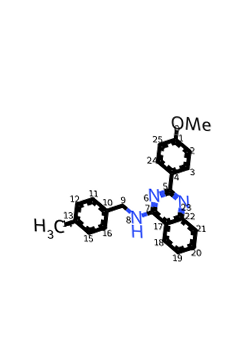 COc1ccc(-c2nc(NCc3ccc(C)cc3)c3ccccc3n2)cc1